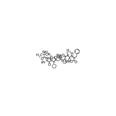 COC(=O)[C@H](Cc1ccccc1)NC(=O)[C@H](C)[C@@H](OC)[C@@H]1CCCN1C(=O)C[C@@H](OC)[C@H](C1CCCC1)N(C)C(=O)[C@@H](NC(=O)C(C)(C)N)C(C)C